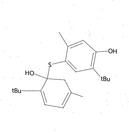 CC1=CC=C(C(C)(C)C)C(O)(Sc2cc(C(C)(C)C)c(O)cc2C)C1